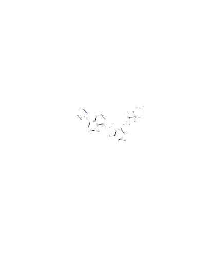 C=CN(/C=C\C)c1cc(C)nc2c(OCc3c(Cl)cncc3CNC(=O)C3(C)CCCCC3)cccc12